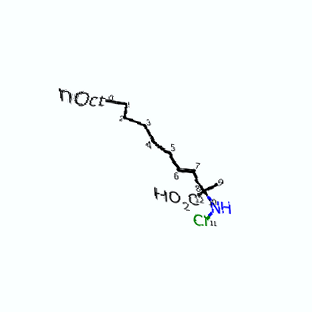 CCCCCCCCCCCCCCCC(C)(NCl)C(=O)O